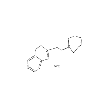 C1=C(CCN2CCCCC2)CCc2ccccc21.Cl